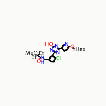 CCCCCCOc1ccc(-c2nc(O)nc(-c3cc(CNC(=O)C(CC)(CC)OC)ccc3Cl)n2)cn1